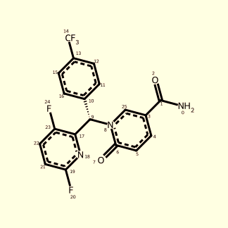 NC(=O)c1ccc(=O)n([C@@H](c2ccc(C(F)(F)F)cc2)c2nc(F)ccc2F)c1